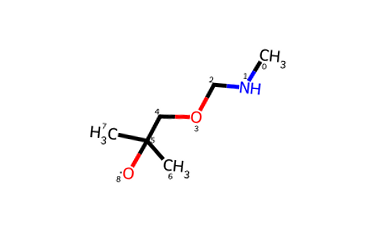 CNCOCC(C)(C)[O]